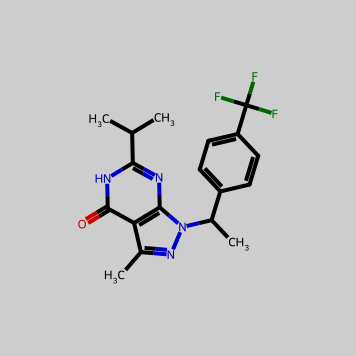 Cc1nn(C(C)c2ccc(C(F)(F)F)cc2)c2nc(C(C)C)[nH]c(=O)c12